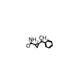 C[C@@H](c1ccccc1)C1CC1C(N)=O